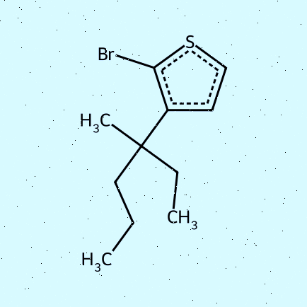 CCCC(C)(CC)c1ccsc1Br